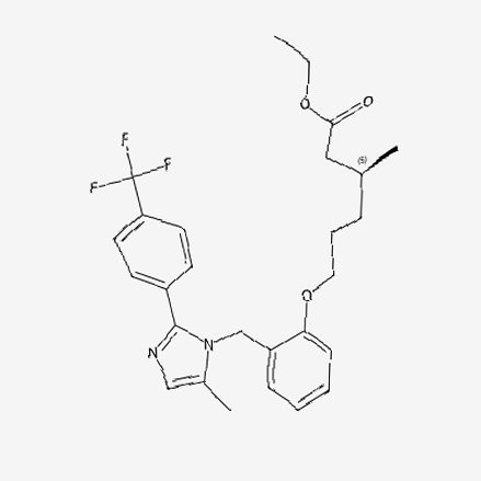 CCOC(=O)C[C@@H](C)CCCOc1ccccc1Cn1c(C)cnc1-c1ccc(C(F)(F)F)cc1